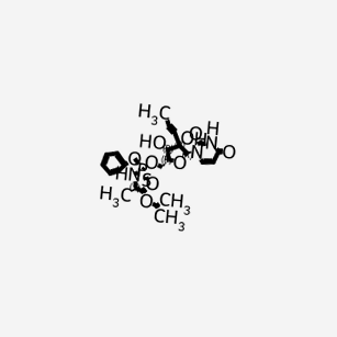 CC#C[C@@]1(O)[C@H](O)[C@@H](COP(=S)(N[C@@H](C)C(=O)OC(C)C)Oc2ccccc2)O[C@H]1n1ccc(=O)[nH]c1=O